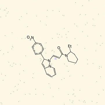 CCC1CCCCN1C(=O)/C=C/N1C(c2ccc([N+](=O)[O-])cc2)C=C2C=CC=CN21